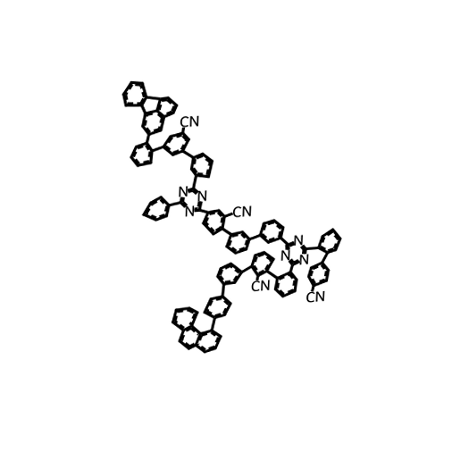 N#Cc1ccc(-c2ccccc2-c2nc(-c3cccc(-c4cccc(-c5ccc(-c6nc(-c7ccccc7)nc(-c7cccc(-c8cc(C#N)cc(-c9ccccc9-c9cc%10c%11c(cccc%11c9)-c9ccccc9-%10)c8)c7)n6)cc5C#N)c4)c3)nc(-c3ccccc3-c3cccc(-c4cccc(-c5ccc(-c6cccc7ccc8ccccc8c67)cc5)c4)c3C#N)n2)cc1